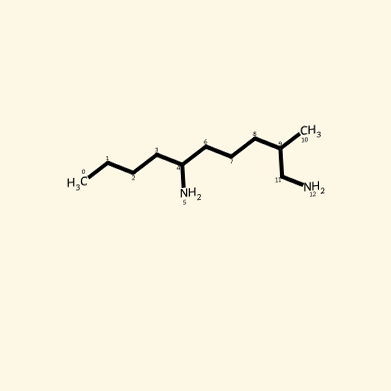 CCCCC(N)CCCC(C)CN